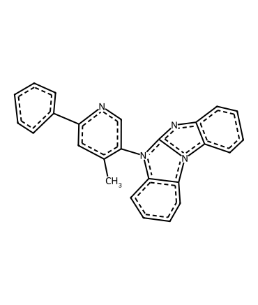 Cc1cc(-c2ccccc2)ncc1-n1c2ccccc2n2c3ccccc3nc12